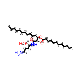 CCCCCCCCCCCC(=O)O[C@H](CCCCCCCCCCC)CC(=O)N[C@@H](CO)CCCN